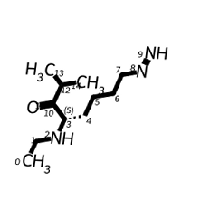 CCN[C@@H](CCCCN=N)C(=O)C(C)C